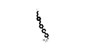 CC[C@H]1CC[C@H]([C@H]2CC[C@H](C3CCC(CCc4ccc(CCCCF)cc4)CC3)CC2)CC1